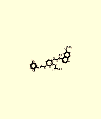 COc1ccc2nccc([C@H](O)CC[C@@H]3CCN(CCSc4cc(F)ccc4F)C[C@@H]3CC(=O)O)c2c1